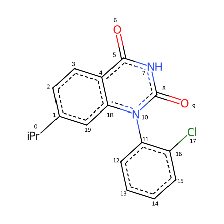 CC(C)c1ccc2c(=O)[nH]c(=O)n(-c3ccccc3Cl)c2c1